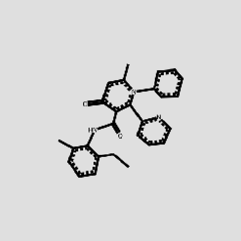 CCc1cccc(C)c1NC(=O)c1c(-c2ccccn2)n(-c2ccccc2)c(C)cc1=O